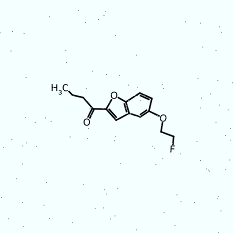 CCCC(=O)c1cc2cc(OCCF)ccc2o1